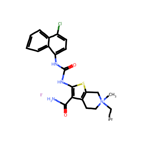 CC(C)C[N+]1(C)CCc2c(sc(NC(=O)Nc3ccc(Cl)c4ccccc34)c2C(N)=O)C1.[I-]